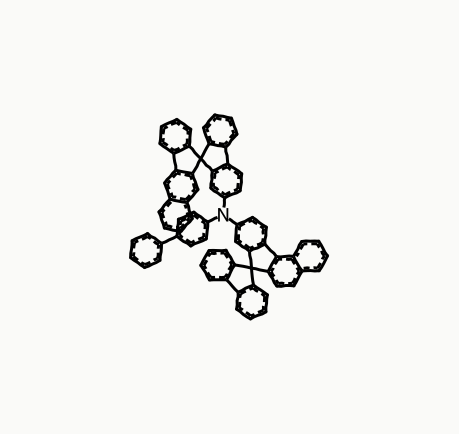 c1ccc(-c2ccc(N(c3ccc4c(c3)C3(c5ccccc5-4)c4ccccc4-c4cc5ccccc5cc43)c3ccc4c(c3)C3(c5ccccc5-c5ccccc53)c3ccc5ccccc5c3-4)cc2)cc1